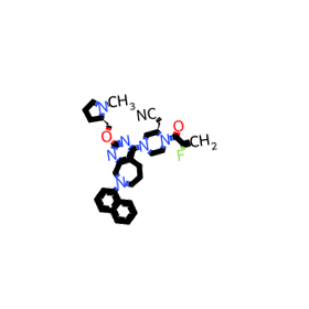 C=C(F)C(=O)N1CCN(c2nc(OC[C@@H]3CCCN3C)nc3c2CCCN(c2cccc4ccccc24)C3)C[C@@H]1CC#N